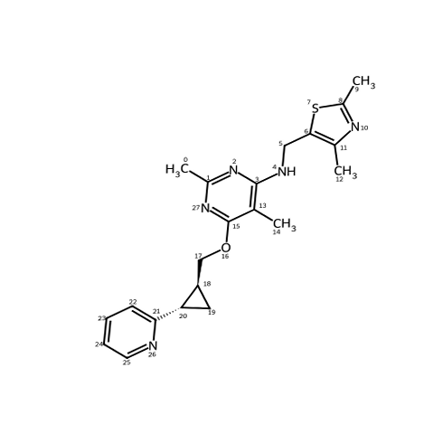 Cc1nc(NCc2sc(C)nc2C)c(C)c(OC[C@H]2C[C@@H]2c2ccccn2)n1